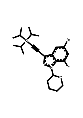 CC(C)[Si](C#Cc1nn(C2CCCCO2)c2c(F)cc(Br)cc12)(C(C)C)C(C)C